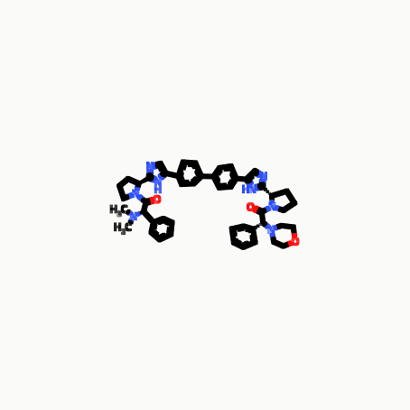 CN(C)[C@@H](C(=O)N1CCC[C@H]1c1ncc(-c2ccc(-c3ccc(-c4cnc([C@@H]5CCCN5C(=O)[C@@H](c5ccccc5)N5CCOCC5)[nH]4)cc3)cc2)[nH]1)c1ccccc1